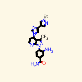 CCn1cc(-c2cn(-c3ccnc4c3c(C(F)(F)F)nn4-c3ccc(C(N)=O)cc3N)cn2)cn1